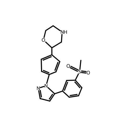 CS(=O)(=O)c1cccc(-c2ccnn2-c2ccc(C3CNCCO3)cc2)c1